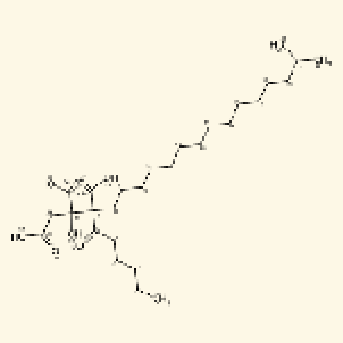 CCCCCC(=O)C(CCCCCCCCCCCCCC(C)C)(C(=O)O)C(O)(CC(=O)O)C(=O)O